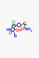 N#Cc1c(O)c2c(cc(Cl)n2-c2ccc(-c3cscc3C(N)=O)cc2)[nH]c1=O